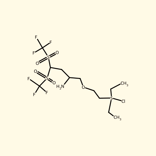 CCS(Cl)(CC)CCOCC(N)CC(S(=O)(=O)C(F)(F)F)S(=O)(=O)C(F)(F)F